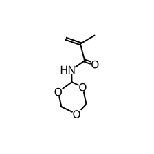 C=C(C)C(=O)NC1OCOCO1